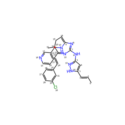 C/C=C/c1cc(NC2=N/C(NCc3cccnc3)=C/CC(C)C(/C=C/c3cccc(Cl)c3)=N\2)n[nH]1